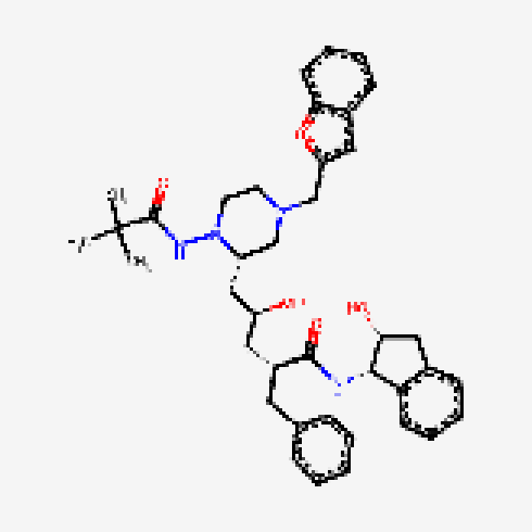 CC(C)(C)C(=O)NN1CCN(Cc2cc3ccccc3o2)C[C@@H]1C[C@@H](O)C[C@@H](Cc1ccccc1)C(=O)N[C@H]1c2ccccc2C[C@H]1O